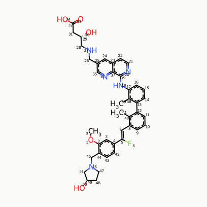 COc1cc(/C(F)=C/c2cccc(-c3cccc(Nc4nccc5cc(CNC[C@@H](O)CC(=O)O)cnc45)c3C)c2C)ccc1CN1CC[C@@H](O)C1